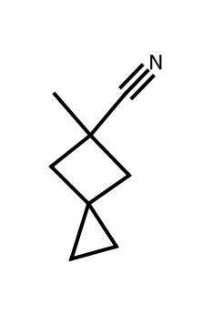 CC1(C#N)CC2(CC2)C1